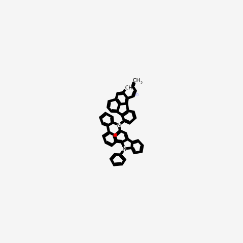 C=C/C=C\c1c(C)cc2cccc3c2c1-c1cccc(N(c2ccc4c(c2)c2ccccc2n4-c2ccccc2)c2ccccc2-c2ccccc2)c1-3